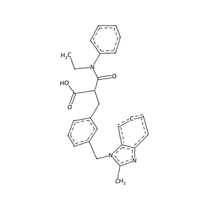 CCN(C(=O)C(Cc1cccc(Cn2c(C)nc3ccccc32)c1)C(=O)O)c1ccccc1